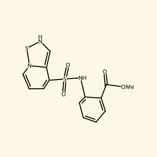 COC(=O)c1ccccc1NS(=O)(=O)C1=CC=CN2SNC=C12